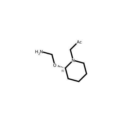 CC(=O)CN1CCCC[C@@H]1OCN